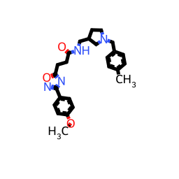 COc1ccc(-c2noc(CCC(=O)NCC3CCN(Cc4ccc(C)cc4)C3)n2)cc1